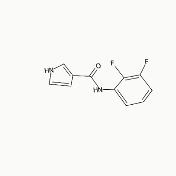 O=C(Nc1cccc(F)c1F)c1cc[nH]c1